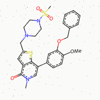 COc1ccc(-c2cn(C)c(=O)c3cc(CN4CCN(S(C)(=O)=O)CC4)sc23)cc1OCc1ccccc1